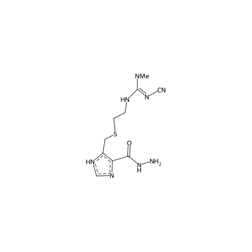 CNC(=NC#N)NCCSCc1[nH]cnc1C(=O)NN